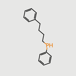 c1ccc(CCCCPc2ccccc2)cc1